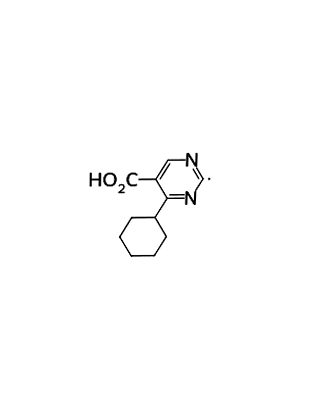 O=C(O)c1cn[c]nc1C1CCCCC1